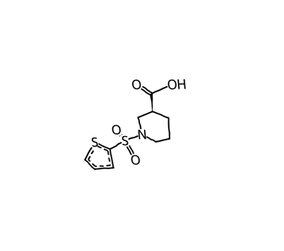 O=C(O)[C@H]1CCCN(S(=O)(=O)c2cccs2)C1